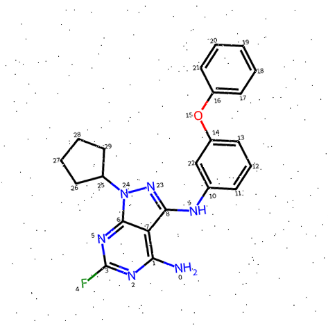 Nc1nc(F)nc2c1c(Nc1cccc(Oc3ccccc3)c1)nn2C1CCCC1